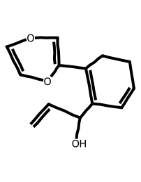 C=CC(O)C1=C(C2=COC=CO2)CCC=C1